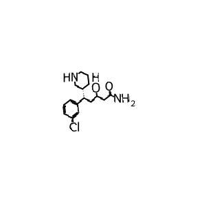 NC(=O)CC(O)CC(c1cccc(Cl)c1)[C@H]1CCCNC1